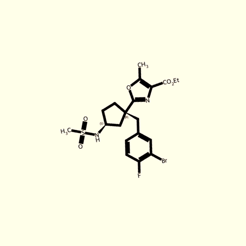 CCOC(=O)c1nc([C@@]2(Cc3ccc(F)c(Br)c3)CC[C@H](NS(C)(=O)=O)C2)oc1C